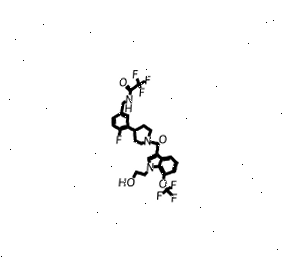 O=C(c1cn(CCO)c2c(OC(F)(F)F)cccc12)N1CCC(c2cc(CNC(=O)C(F)(F)F)ccc2F)CC1